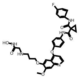 COc1cc2nccc(Oc3ccc(NC(=O)C4(C(=O)Nc5ccc(F)cc5)CC4)cc3)c2cc1OCCCNCC(=O)NO